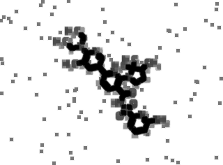 CCN(CC)c1ncc(-c2ccc(C(=O)NS(=O)(=O)c3cccc(N)n3)c(N3CCC(C)C3(C)C)n2)cc1C